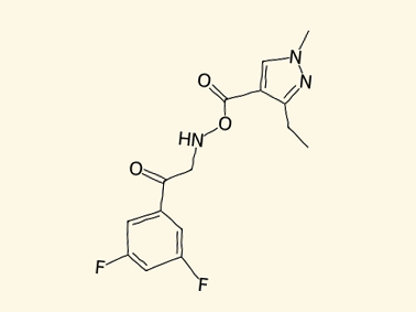 CCc1nn(C)cc1C(=O)ONCC(=O)c1cc(F)cc(F)c1